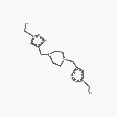 CC(C)Cn1cc(CN2CCN(Cc3cn(CC(C)C)nn3)CC2)nn1